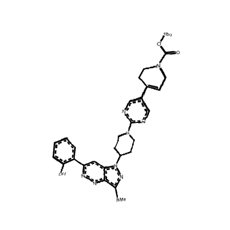 CNc1nn(C2CCN(c3ncc(C4=CCN(C(=O)OC(C)(C)C)CC4)cn3)CC2)c2cc(-c3ccccc3O)nnc12